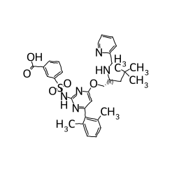 Cc1cccc(C)c1-c1cc(OC[C@@H](CC(C)(C)C)NCc2ccccn2)nc(NS(=O)(=O)c2cccc(C(=O)O)c2)n1